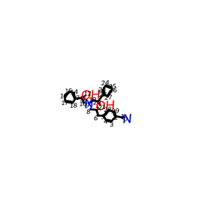 N#Cc1ccc(CCCN(CC(O)c2ccccc2)CC(O)c2ccccc2)cc1